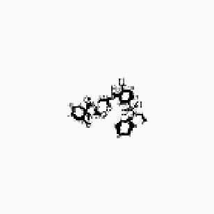 CCN(c1ccccc1)S(=O)(=O)c1ccc(Cl)c(NC(=O)CN2C(=O)NC3(CCCCC3C)C2=O)c1